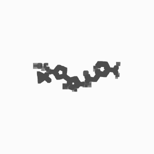 CC1(N(C(=O)O)C2CCC(c3cc(NC(=O)Cc4cc(C(F)F)ccn4)n[nH]3)C2)CC1